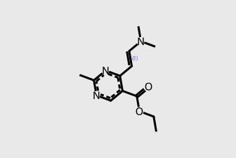 CCOC(=O)c1cnc(C)nc1/C=C/N(C)C